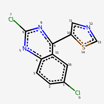 Clc1ccc2nc(Cl)nc(-c3cncs3)c2c1